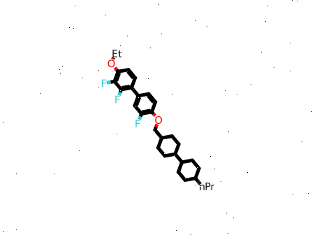 CCCC1CCC(C2CCC(COc3ccc(-c4ccc(OCC)c(F)c4F)cc3F)CC2)CC1